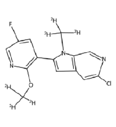 [2H]C([2H])([2H])Oc1ncc(F)cc1-c1cc2cc(Cl)ncc2n1C([2H])([2H])[2H]